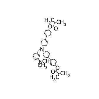 C=C(C)C(=O)Oc1ccc(-c2ccc(N(Cc3cccc(N(C)C)c3)c3ccc(-c4ccc(OC(=O)C(=C)C)cc4)cc3)cc2)cc1